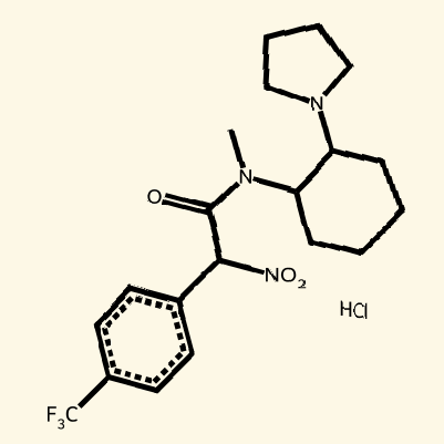 CN(C(=O)C(c1ccc(C(F)(F)F)cc1)[N+](=O)[O-])C1CCCCC1N1CCCC1.Cl